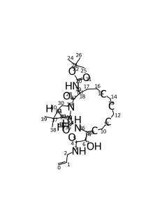 C=CCNC(=O)C(O)[C@@H]1CCCCCCCCC[C@H](NC(=O)OC(C)(C)C)C(=O)N2C[C@H]3[C@@H]([C@H]2C(=O)N1)C3(C)C